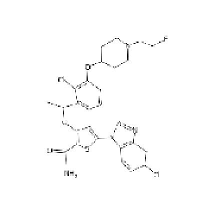 CC(Oc1cc(-n2cnc3c2C=CC(Cl)C3)sc1C(N)=O)c1cccc(OC2CCN(CCF)CC2)c1Cl